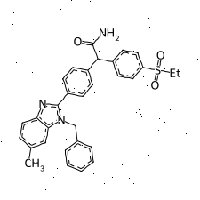 CCS(=O)(=O)c1ccc(C(C(N)=O)c2ccc(-c3nc4ccc(C)cc4n3Cc3ccccc3)cc2)cc1